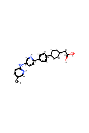 Cc1ccc(Nc2ccc(-c3ccc(C4CCC(CC(=O)O)CC4)cc3)nc2)nc1